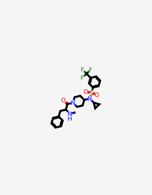 CNC(Cc1ccccc1)C(=O)N1CCC(N(C2CC2)S(=O)(=O)c2cccc(C(F)(F)F)c2)CC1